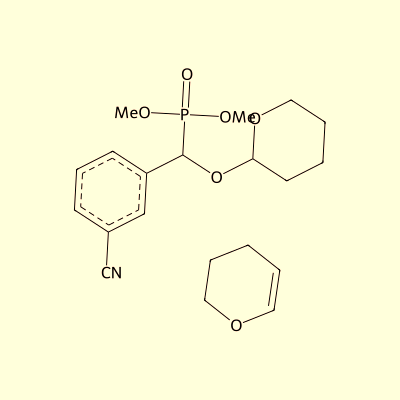 C1=COCCC1.COP(=O)(OC)C(OC1CCCCO1)c1cccc(C#N)c1